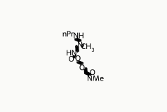 CCCNCCN(C)CCNC(=O)OCCOCCC(=O)NC